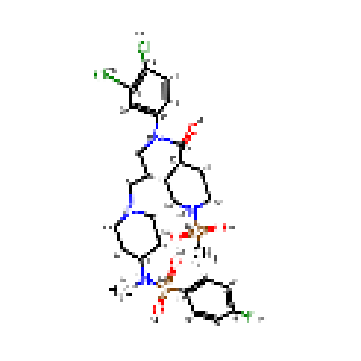 CN(C1CCN(CCCN(C(=O)C2CCN(S(C)(=O)=O)CC2)c2ccc(Cl)c(Cl)c2)CC1)S(=O)(=O)c1ccc(F)cc1